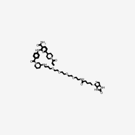 C=CC(=O)N1CCC(c2ccc(C(N)=O)c(Nc3ccc(C(=O)N4CCCC(NCCCOCCOCCOCCOCCNC(=O)CCCC[C@@H]5SCC6NC(=O)NC65)C4)cc3)n2)CC1